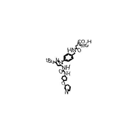 CC(C)(C)c1cc(NC(=O)Nc2ccc(Oc3cccnc3)cc2)n(-c2ccc(CNC(=O)CN(C(=O)O)C(C)(C)C)cc2)n1